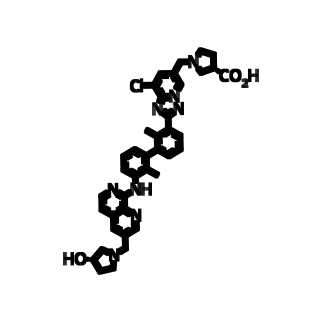 Cc1c(Nc2nccc3cc(CN4CC[C@@H](O)C4)cnc23)cccc1-c1cccc(-c2nc3c(Cl)cc(CN4CC[C@@H](C(=O)O)C4)cn3n2)c1C